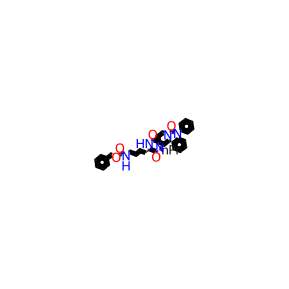 CCCN1C(=O)[C@H](CCCCNC(=O)OCc2ccccc2)NC(=O)C12CCN(C(=O)N(c1ccccc1)c1ccccc1)CC2